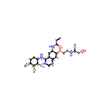 C=CC(=O)Nc1cc2c(Nc3ccc(Br)c(Cl)c3F)ncnc2cc1OCCNC(=O)CO